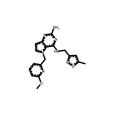 COc1cccc(Cn2ccc3nc(N)nc(NCc4cc(C)on4)c32)n1